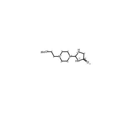 COCCN1CCN([C]2NCC(=O)N2)CC1